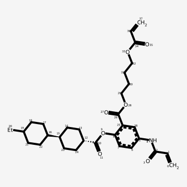 C=CC(=O)Nc1ccc(OC(=O)[C@H]2CC[C@H](C3CCC(CC)CC3)CC2)c(C(=O)OCCCCOC(=O)C=C)c1